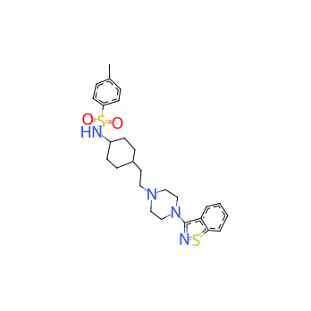 Cc1ccc(S(=O)(=O)NC2CCC(CCN3CCN(c4nsc5ccccc45)CC3)CC2)cc1